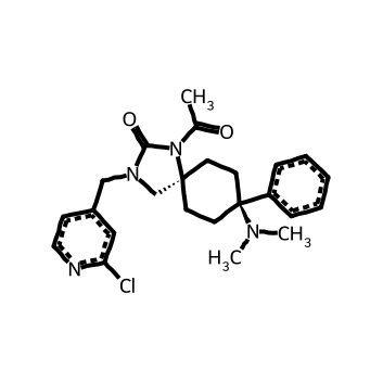 CC(=O)N1C(=O)N(Cc2ccnc(Cl)c2)C[C@]12CC[C@](c1ccccc1)(N(C)C)CC2